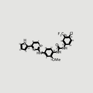 COc1cc(Nc2nccc(-c3ccc[nH]3)n2)ccc1NC(=O)Nc1ccc(Cl)c(C(F)(F)F)c1